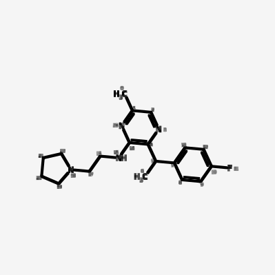 Cc1cnc(C(C)c2ccc(F)cc2)c(NCCN2CCCC2)n1